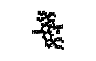 CC(C)(C)c1ccc2c(O)cc3c(c2c1)[C@H](C(Cl)Cl)CN3C(C)(C)C